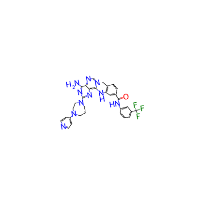 Cc1ccc(C(=O)Nc2cccc(C(F)(F)F)c2)cc1Nc1ncnc2c(N)nc(N3CCCN(c4ccncc4)CC3)nc12